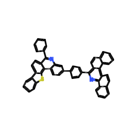 c1ccc(-c2nc3cc(-c4ccc(-c5nc6c7ccccc7ccc6c6c5ccc5ccccc56)cc4)ccc3c3c2ccc2c4ccccc4sc23)cc1